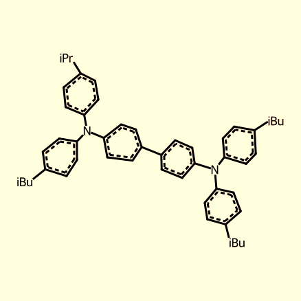 CCC(C)c1ccc(N(c2ccc(-c3ccc(N(c4ccc(C(C)CC)cc4)c4ccc(C(C)CC)cc4)cc3)cc2)c2ccc(C(C)C)cc2)cc1